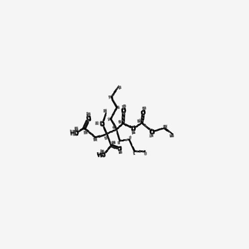 CCCCC(CCCC)(C(=O)OC(=O)OCC)C(CC(=O)O)(OC)C(=O)O